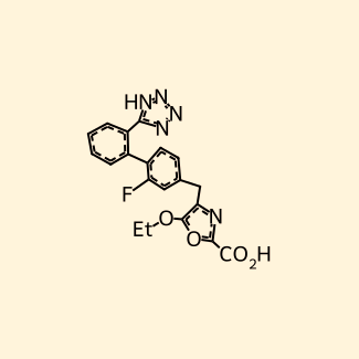 CCOc1oc(C(=O)O)nc1Cc1ccc(-c2ccccc2-c2nnn[nH]2)c(F)c1